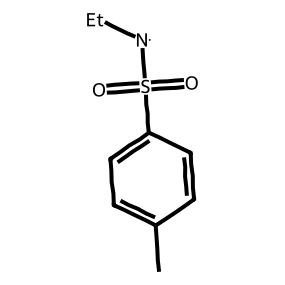 CC[N]S(=O)(=O)c1ccc(C)cc1